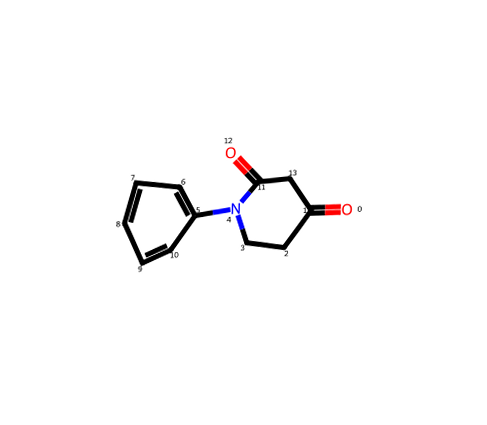 O=C1CCN(c2ccccc2)C(=O)C1